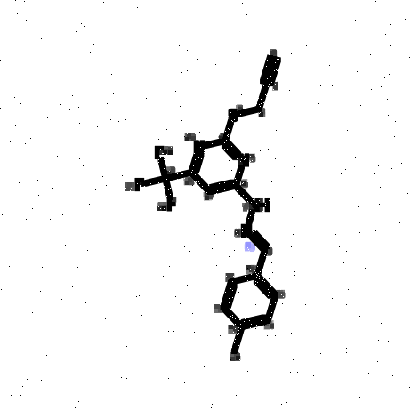 C#CCSc1nc(N/N=C/c2ccc(C)cc2)cc(C(F)(F)F)n1